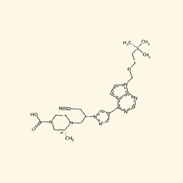 C[C@@H]1CN(C(=O)O)CCN1CC(CC#N)n1cc(-c2ncnc3c2ccn3COCC[Si](C)(C)C)cn1